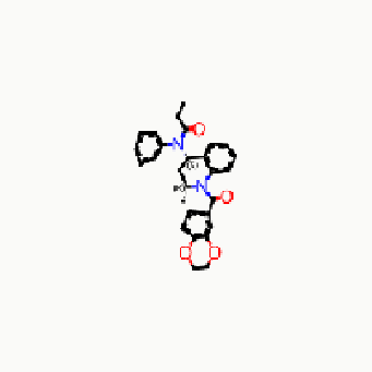 CCC(=O)N(c1ccccc1)[C@H]1C[C@@H](C)N(C(=O)c2ccc3c(c2)OCCO3)c2ccccc21